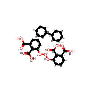 O=C(O)c1cccc(OOOc2cccc(C(=O)O)c2C(=O)O)c1C(=O)O.c1ccc(-c2ccccc2)cc1